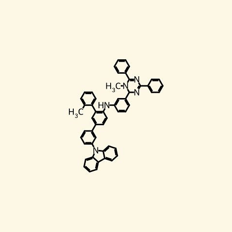 Cc1ccccc1-c1cc(-c2cccc(-n3c4ccccc4c4ccccc43)c2)ccc1Nc1cccc(C2N=C(c3ccccc3)N=C(c3ccccc3)N2C)c1